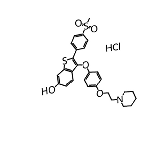 CS(=O)(=O)c1ccc(-c2sc3cc(O)ccc3c2Oc2ccc(OCCN3CCCCC3)cc2)cc1.Cl